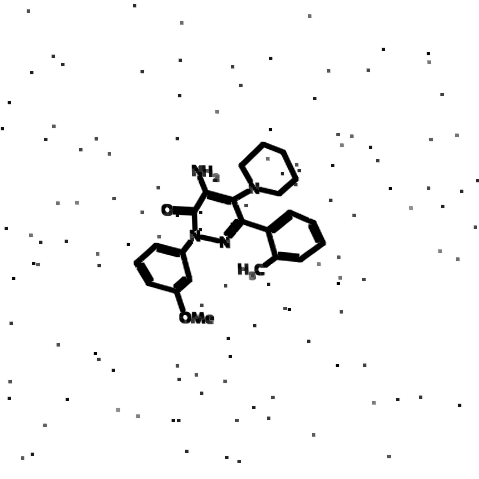 COc1cccc(-n2nc(-c3ccccc3C)c(N3CCCCC3)c(N)c2=O)c1